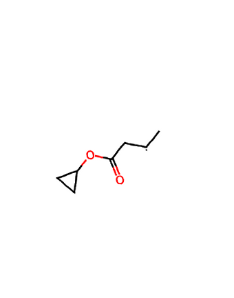 C[CH]CC(=O)OC1CC1